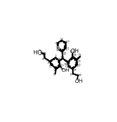 Cc1cc(CCO)cc(C(c2ccccn2)c2cc(CCO)cc(C)c2O)c1O